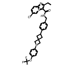 CCc1nc2ccc(Cl)cn2c1C(=O)NCc1ccc(C2CC3(C2)CN(c2ccc(OC(F)(F)F)cc2)C3)cc1